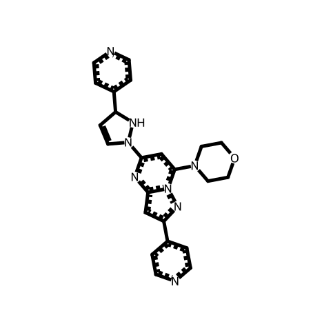 C1=CN(c2cc(N3CCOCC3)n3nc(-c4ccncc4)cc3n2)NC1c1ccncc1